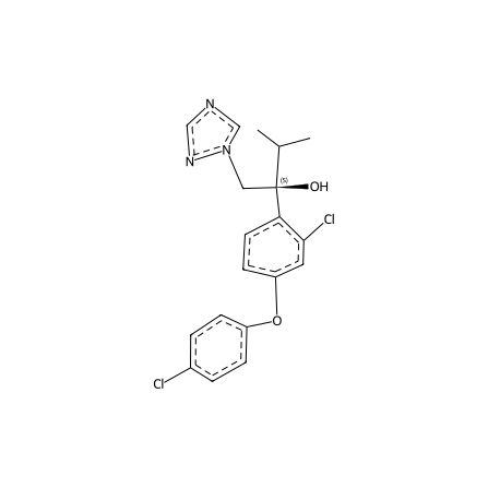 CC(C)[C@@](O)(Cn1cncn1)c1ccc(Oc2ccc(Cl)cc2)cc1Cl